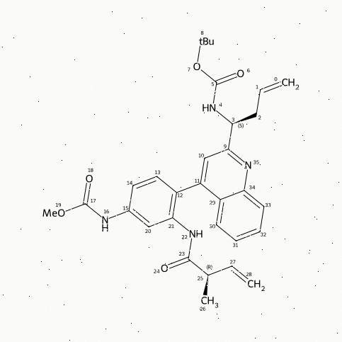 C=CC[C@H](NC(=O)OC(C)(C)C)c1cc(-c2ccc(NC(=O)OC)cc2NC(=O)[C@H](C)C=C)c2ccccc2n1